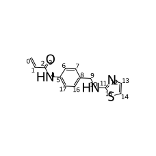 C=CC(=O)Nc1ccc(CNc2nccs2)cc1